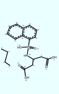 CCCC.O=C(O)CC(CC(=O)O)NP(=O)(O)c1cccc2ccccc12